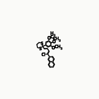 COc1cc(C2(/C=C/C=C(\Cl)c3ccc4ccccc4c3)SCCCS2)cc(OC)c1OC